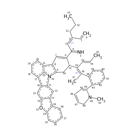 C=C/C(=C\C(=N)C1=Cc2c(n3c4cc5c(cc4c4cccc2c43)oc2ccccc25)CC1/C(C=CC)=C(\C)c1ccccc1C1=CC=CCN1C)CCC